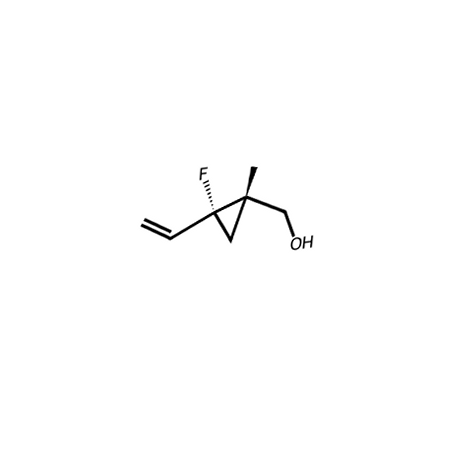 C=C[C@]1(F)C[C@@]1(C)CO